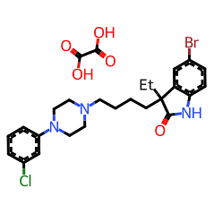 CCC1(CCCCN2CCN(c3cccc(Cl)c3)CC2)C(=O)Nc2ccc(Br)cc21.O=C(O)C(=O)O